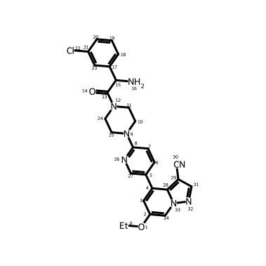 CCOc1cc(-c2ccc(N3CCN(C(=O)C(N)c4cccc(Cl)c4)CC3)nc2)c2c(C#N)cnn2c1